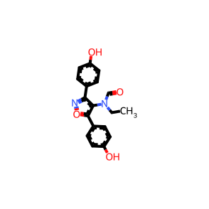 CCN(C=O)c1c(-c2ccc(O)cc2)noc1-c1ccc(O)cc1